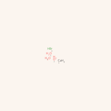 Br.O.O.O.[CaH2]